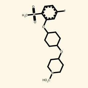 CS(=O)(=O)c1ccc(F)cc1OC1CCC(OC2CCN(C(=O)O)CC2)CC1